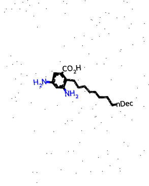 CCCCCCCCCCCCCCCCCCc1c(N)cc(N)cc1C(=O)O